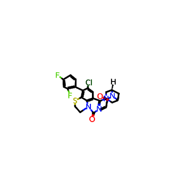 C=CC(=O)N1C2C[C@H]1CN(c1nc(=O)n3c4c(c(-c5ccc(F)cc5F)c(Cl)cc14)SCC3)C2